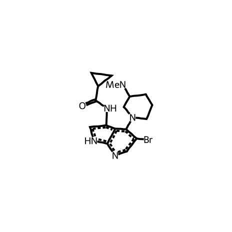 CNC1CCCN(c2c(Br)cnc3[nH]cc(NC(=O)C4CC4)c23)C1